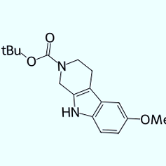 COc1ccc2[nH]c3c(c2c1)CCN(C(=O)OC(C)(C)C)C3